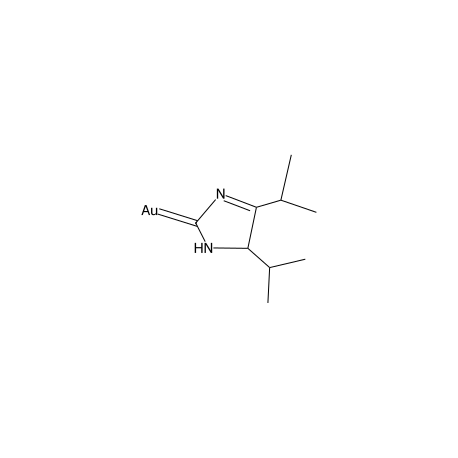 CC(C)C1=N[C](=[Au])NC1C(C)C